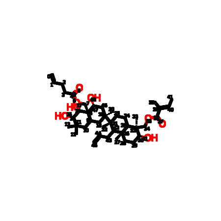 C=CCCC(=O)OC[C@@]12C(CC(C)(C)[C@@H](O)[C@@H]1O)C[C@](C)([C@]1(C)CCC3[C@](C)(CC[C@H](O)[C@]3(C)COC(=O)/C(C)=C/C)C1CC=C)C[C@H]2O